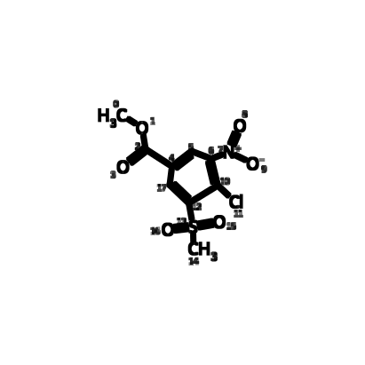 COC(=O)c1cc([N+](=O)[O-])c(Cl)c(S(C)(=O)=O)c1